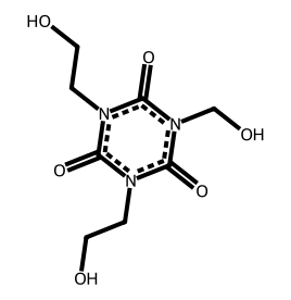 O=c1n(CO)c(=O)n(CCO)c(=O)n1CCO